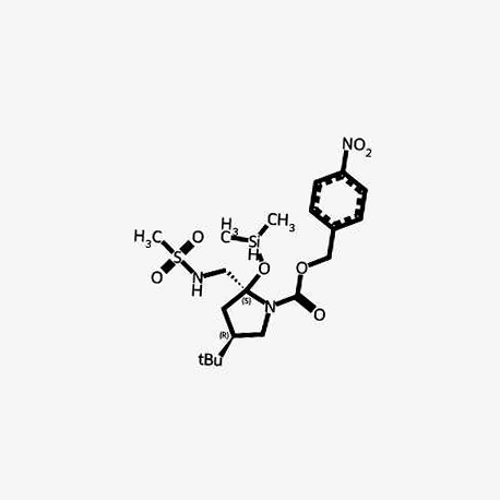 C[SiH](C)O[C@]1(CNS(C)(=O)=O)C[C@H](C(C)(C)C)CN1C(=O)OCc1ccc([N+](=O)[O-])cc1